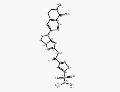 CN1CCc2cc(N3CCn4nc(NC(=O)c5csc(S(=O)(=O)N(C)C)c5)cc43)ccc2C1=O